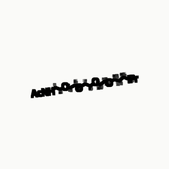 CC(=O)NCCOCCOCCOCCOCCCC(C)C